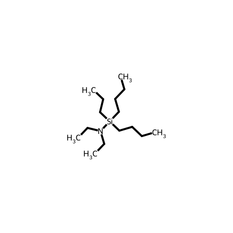 CCCC[Si](CCC)(CCCC)N(CC)CC